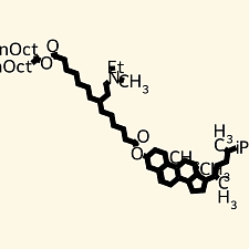 CCCCCCCCC(CCCCCCCC)OC(=O)CCCCCCC(CCCCCC(=O)OC1CCC2(C)C(=CCC3C2CCC2(C)C(C(C)CCC(C)C(C)C)CCC32)C1)CCN(C)CC